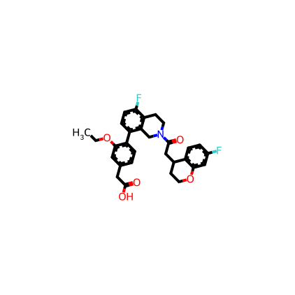 CCOc1cc(CC(=O)O)ccc1-c1ccc(F)c2c1CN(C(=O)CC1CCOc3cc(F)ccc31)CC2